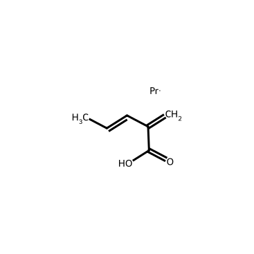 C=C(C=CC)C(=O)O.[Pr]